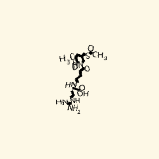 CC(=O)SCC(CNC(=O)CCCCN[C@@H](CCCNC(=N)N)C(=O)O)CC(C)C=O